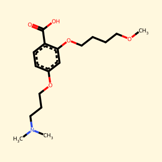 COCCCCOc1cc(OCCCN(C)C)ccc1C(=O)O